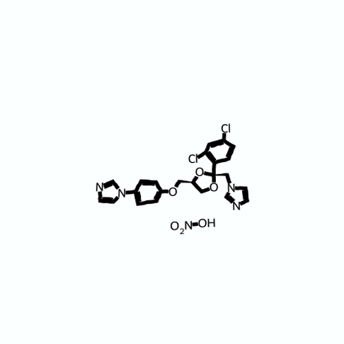 Clc1ccc([C@]2(Cn3ccnc3)OC[C@@H](COc3ccc(-n4ccnc4)cc3)O2)c(Cl)c1.O=[N+]([O-])O